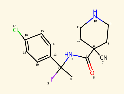 CC(I)(NC(=O)C1(C#N)CCNCC1)c1ccc(Cl)cc1